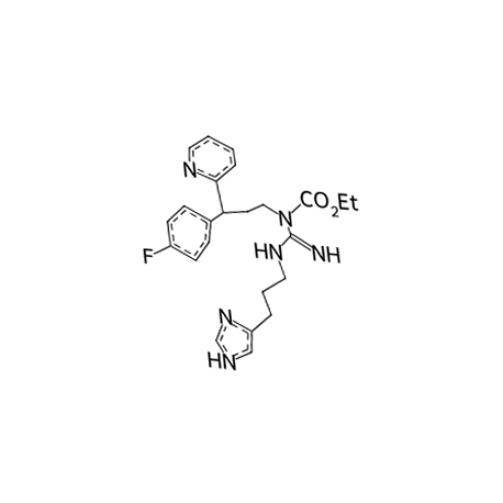 CCOC(=O)N(CCC(c1ccc(F)cc1)c1ccccn1)C(=N)NCCCc1c[nH]cn1